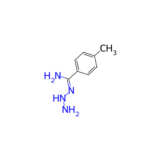 Cc1ccc(/C(N)=N/NN)cc1